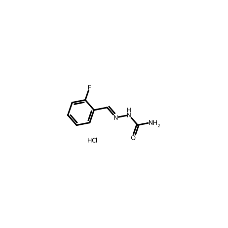 Cl.NC(=O)N/N=C/c1ccccc1F